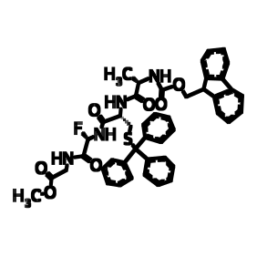 COC(=O)CNC(=O)[C@@H](F)NC(=O)[C@@H](CSC(c1ccccc1)(c1ccccc1)c1ccccc1)NC(=O)[C@@H](C)NC(=O)OCC1c2ccccc2-c2ccccc21